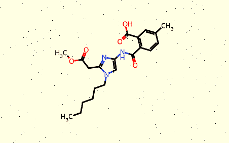 CCCCCCn1cc(NC(=O)c2ccc(C)cc2C(=O)O)nc1CC(=O)OC